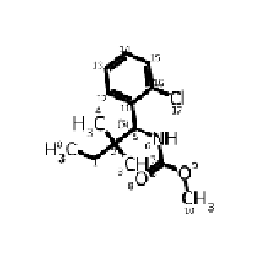 CCC(C)(C)[C@H](NC(=O)OC)c1ccccc1Cl